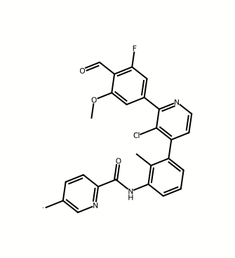 [CH2]c1ccc(C(=O)Nc2cccc(-c3ccnc(-c4cc(F)c(C=O)c(OC)c4)c3Cl)c2C)nc1